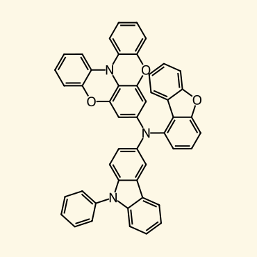 c1ccc(-n2c3ccccc3c3cc(N(c4cc5c6c(c4)Oc4ccccc4N6c4ccccc4O5)c4cccc5oc6ccccc6c45)ccc32)cc1